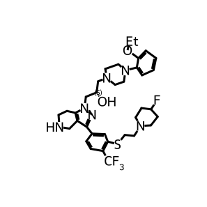 CCOc1ccccc1N1CCN(C[C@H](O)Cn2nc(-c3ccc(C(F)(F)F)c(SCCN4CCC(F)CC4)c3)c3c2CCNC3)CC1